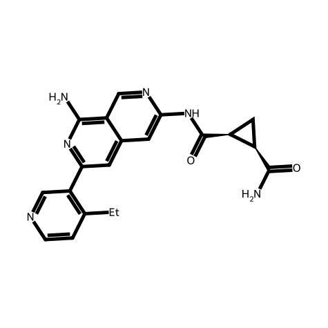 CCc1ccncc1-c1cc2cc(NC(=O)[C@H]3C[C@H]3C(N)=O)ncc2c(N)n1